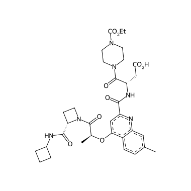 CCOC(=O)N1CCN(C(=O)[C@H](CC(=O)O)NC(=O)c2cc(O[C@@H](C)C(=O)N3CC[C@H]3C(=O)NC3CCC3)c3ccc(C)cc3n2)CC1